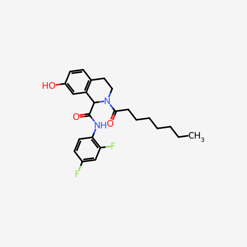 CCCCCCCC(=O)N1CCc2ccc(O)cc2C1C(=O)Nc1ccc(F)cc1F